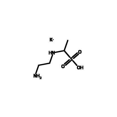 CC(NCCN)S(=O)(=O)O.[K]